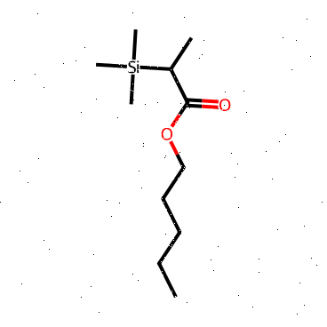 CCCCCOC(=O)C(C)[Si](C)(C)C